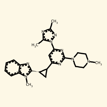 Cc1nc(C)n(-c2cc(C3C[C@@H]3c3nc4ccccc4n3C)nc(N3CCN(C)CC3)n2)n1